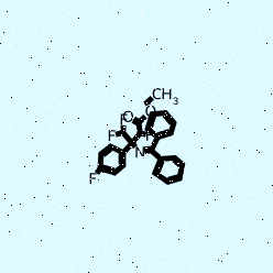 CCOC(=O)C(F)C(N=C(c1ccccc1)c1ccccc1)(c1ccc(F)cc1)C(F)F